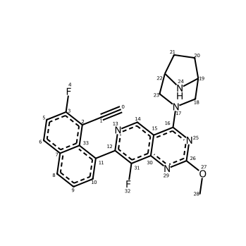 C#Cc1c(F)ccc2cccc(-c3ncc4c(N5CC6CCC(C5)N6)nc(OC)nc4c3F)c12